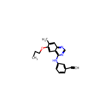 C#Cc1cccc(Nc2ncnc3cc(C)c(OCCC)cc23)c1